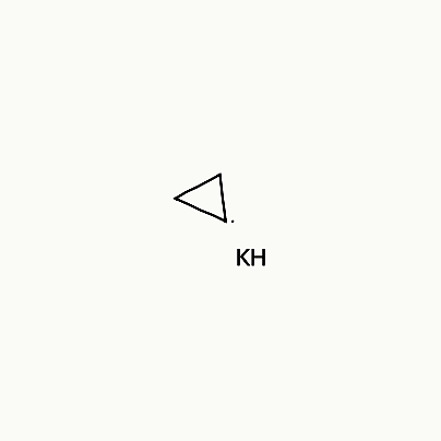 [CH]1CC1.[KH]